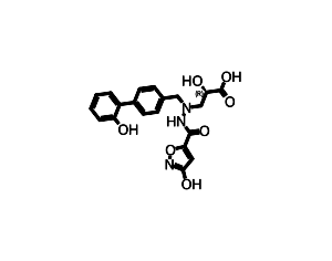 O=C(NN(Cc1ccc(-c2ccccc2O)cc1)C[C@@H](O)C(=O)O)c1cc(O)no1